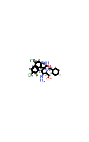 NC1C(CO)N(CC2CCCCC2)C2(C(=O)Nc3cc(Cl)ccc32)[C@H]1c1cccc(Cl)c1F